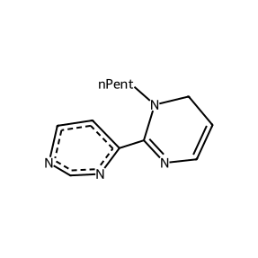 CCCCCN1CC=CN=C1c1ccncn1